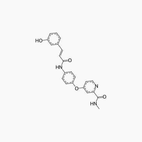 CNC(=O)c1cc(Oc2ccc(NC(=O)C=Cc3cccc(O)c3)cc2)ccn1